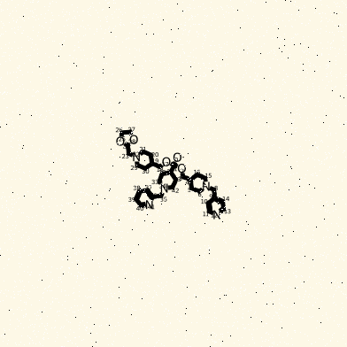 [O]C(OCC1CCN(Cc2ccncc2)CC1)(OCC1CCN(CC2OCCO2)CC1)C1CCN(Cc2ccccn2)CC1